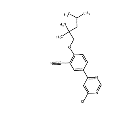 CC(C)CC(C)(N)COc1ccc(-c2cc(Cl)ncn2)cc1C#N